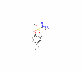 C=Cc1ccc(OS(=O)(=O)NN)cc1